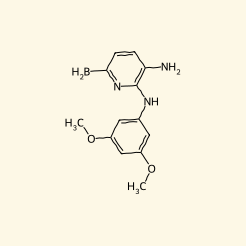 Bc1ccc(N)c(Nc2cc(OC)cc(OC)c2)n1